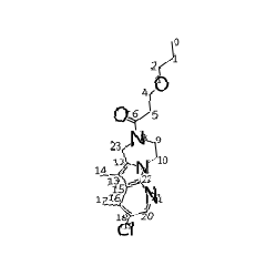 CCCOCCC(=O)N1CCn2c(c(C)c3c(C)c(Cl)cnc32)C1